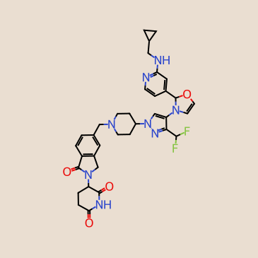 O=C1CCC(N2Cc3cc(CN4CCC(n5cc(N6C=COC6c6ccnc(NCC7CC7)c6)c(C(F)F)n5)CC4)ccc3C2=O)C(=O)N1